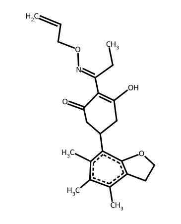 C=CCON=C(CC)C1=C(O)CC(c2c(C)c(C)c(C)c3c2OCC3)CC1=O